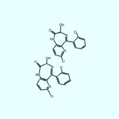 O=C1Nc2ccc(Cl)nc2C(c2ccccc2Cl)=NC1O.O=C1Nc2ccc(Cl)nc2C(c2ccccc2Cl)=NC1O